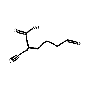 N#CC(CCCC=O)C(=O)O